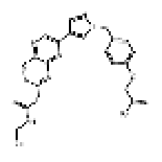 CCNC(=S)Nc1ccc2ncc(-c3cnn(Cc4ccc(OCC(=O)O)cc4)c3)nc2n1